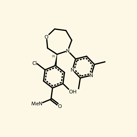 CNC(=O)c1cc(Cl)c([C@H]2COCCCN2c2cc(C)nc(C)n2)cc1O